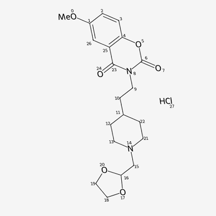 COc1ccc2oc(=O)n(CCC3CCN(CC4OCCO4)CC3)c(=O)c2c1.Cl